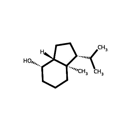 CC(C)[C@H]1CC[C@H]2[C@@H](O)CCC[C@]12C